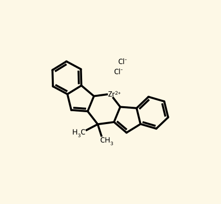 CC1(C)C2=Cc3ccccc3[CH]2[Zr+2][CH]2C1=Cc1ccccc12.[Cl-].[Cl-]